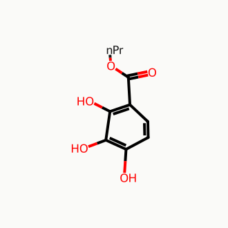 CCCOC(=O)c1ccc(O)c(O)c1O